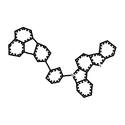 c1cc(-c2ccc3c(c2)-c2cccc4cccc-3c24)cc(-n2c3ccccc3c3c4sc5ccccc5c4ccc32)c1